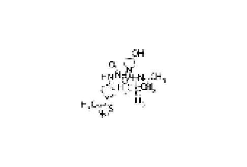 CC(=O)N[C@H](C(=O)N1C[C@H](O)C[C@H]1C(=O)NNc1ccc(-c2scnc2C)cc1)C(C)(C)C